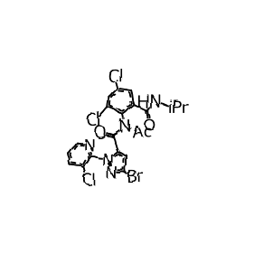 CC(=O)N(C(=O)c1cc(Br)nn1-c1ncccc1Cl)c1c(Cl)cc(Cl)cc1C(=O)NC(C)C